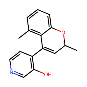 Cc1cccc2c1C(c1ccncc1O)=CC(C)O2